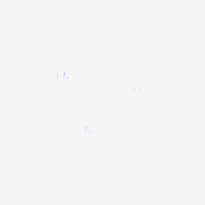 CCNCCN(CC)CC.[Cl-].[Cu+]